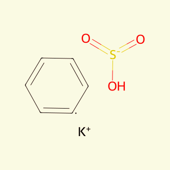 O=[S-](=O)O.[K+].[c]1ccccc1